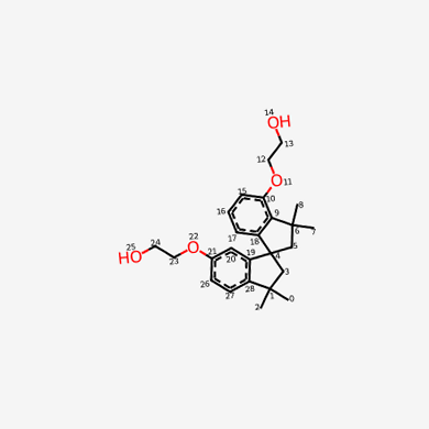 CC1(C)CC2(CC(C)(C)c3c(OCCO)cccc32)c2cc(OCCO)ccc21